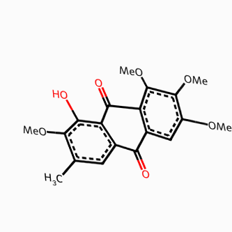 COc1cc2c(c(OC)c1OC)C(=O)c1c(cc(C)c(OC)c1O)C2=O